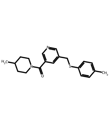 Cc1ccc(SCc2cncc(C(=O)N3CCC(C)CC3)c2)cc1